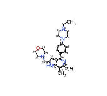 CCN1CCN(c2ccc(-c3nc(C)c(C)c4[nH]c(CN5CCOCC5)cc34)cc2)CC1